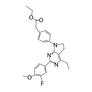 CCOC(=O)Cc1ccc(N2CCc3c(CC)nc(-c4ccc(OC)c(F)c4)nc32)cc1